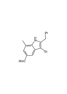 CCc1c(CC(C)C)[nH]c2c(C)cc(OC)cc12